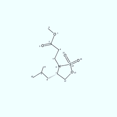 COC(=O)CCN1[C@@H](CC(C)C)COS1(=O)=O